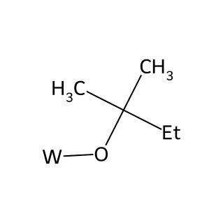 CCC(C)(C)[O][W]